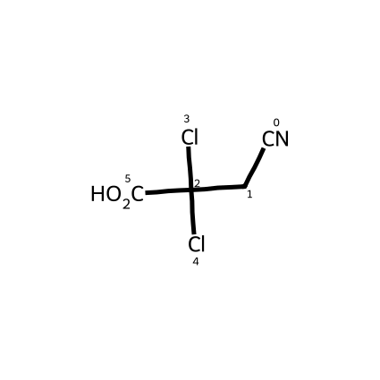 N#CCC(Cl)(Cl)C(=O)O